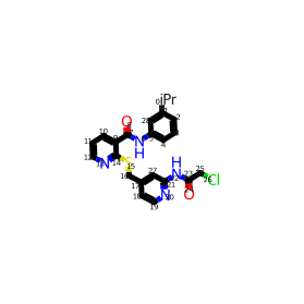 CC(C)c1cccc(NC(=O)c2cccnc2SCc2ccnc(NC(=O)CCl)c2)c1